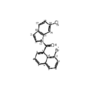 O=C(c1cccc2cccc(Br)c12)n1ccc2ccc(Cl)cc21